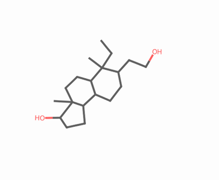 CCC1(C)C(CCO)CCC2C3CCC(O)C3(C)CCC21